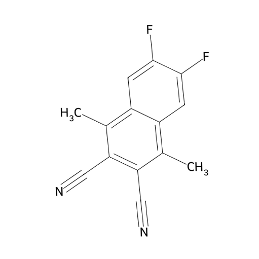 Cc1c(C#N)c(C#N)c(C)c2cc(F)c(F)cc12